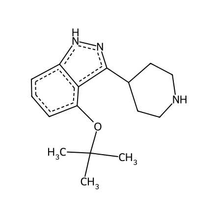 CC(C)(C)Oc1cccc2[nH]nc(C3CCNCC3)c12